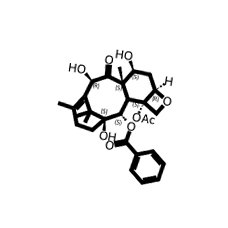 CC(=O)O[C@@]12CO[C@@H]1C[C@H](O)[C@@]1(C)C(=O)[C@H](O)C3=C(C)CC[C@@](O)([C@@H](OC(=O)c4ccccc4)C12)C3(C)C